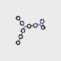 C1=CC2c3ccccc3N(c3ccc(-c4ccc(N(c5ccc(-c6ccccc6)cc5)c5ccc(-c6ccc(-c7ccccc7)cc6)cc5)cc4)cc3)C2C=C1